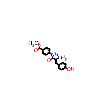 COC(=O)c1ccc(NC(=O)/C(C)=C/c2ccc(O)cc2)cc1